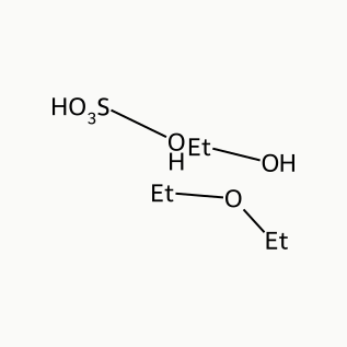 CCO.CCOCC.O=S(=O)(O)O